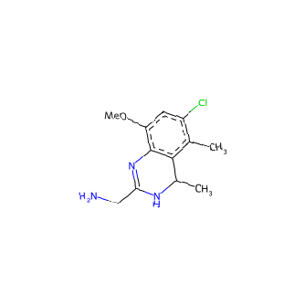 COc1cc(Cl)c(C)c2c1N=C(CN)NC2C